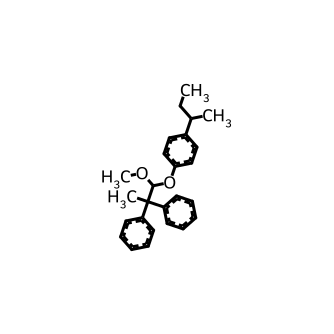 CCC(C)c1ccc(OC(OC)C(C)(c2ccccc2)c2ccccc2)cc1